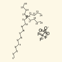 CCCCCCCCCCCC[P+](CCCC)(CCCC)CCCC.O=S(=O)([O-])C(F)(F)F